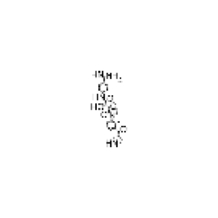 Cc1c(C(=O)C2CCNC2)cccc1N1CCO[C@H]([C@@H](O)C(=O)Nc2ccc(C(=N)N)cc2)C1=O